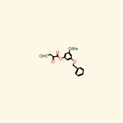 COc1cc(OCc2ccccc2)cc(OC(=O)C(=O)CC=O)c1